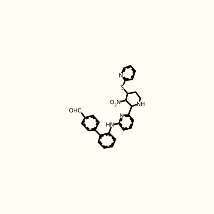 O=Cc1ccc(-c2ccccc2Nc2cccc(C3NCCC(Sc4ccccn4)C3[N+](=O)[O-])n2)cc1